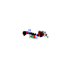 COc1ccc(CCNCCCCCCNCCc2ccccc2)c(OC)c1OC.Cl.Cl